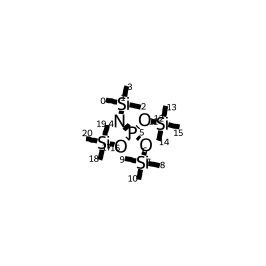 C[Si](C)(C)N=P(O[Si](C)(C)C)(O[Si](C)(C)C)O[Si](C)(C)C